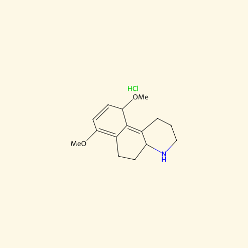 COC1=C2CCC3NCCCC3=C2C(OC)C=C1.Cl